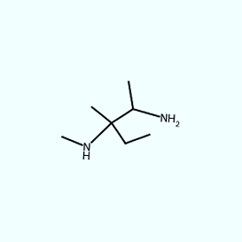 CCC(C)(NC)C(C)N